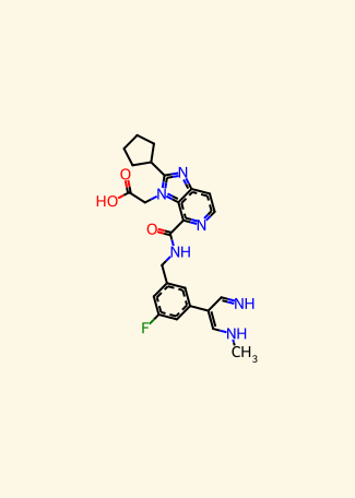 CN/C=C(\C=N)c1cc(F)cc(CNC(=O)c2nccc3nc(C4CCCC4)n(CC(=O)O)c23)c1